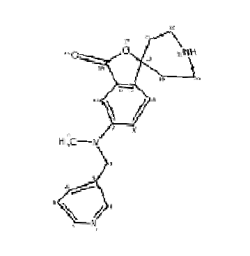 CN(Cc1cccnc1)c1ccc2c(c1)C(=O)OC21CCNCC1